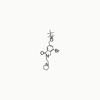 CC(C)(C)[Si](C)(C)OCc1cc(Br)c2c(c1)C(=O)N(CCN1CCCC1)C2